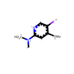 COc1cc(N(C)C(=O)O)ncc1I